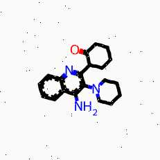 Nc1c(N2CCCCC2)c(C2CCCCC2=O)nc2ccccc12